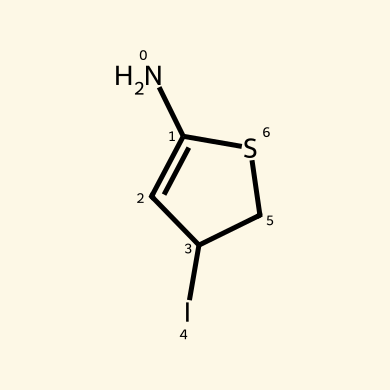 NC1=CC(I)CS1